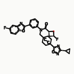 O=C(N(CC12CCC(c3nc(C4CC4)no3)(CC1)CC2)c1cccc(-c2nc3cc(F)ccc3o2)c1)C12CC(F)(C1)C2